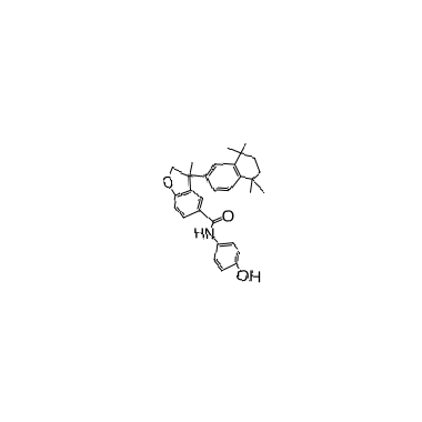 CC1(C)CCC(C)(C)c2cc(C3(C)COc4ccc(C(=O)Nc5ccc(O)cc5)cc43)ccc21